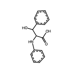 O=C(O)C(Nc1ccccc1)C(O)c1ccccc1